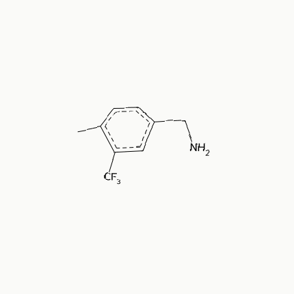 Cc1ccc(CN)cc1C(F)(F)F